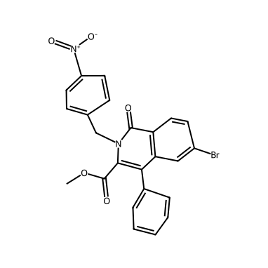 COC(=O)c1c(-c2ccccc2)c2cc(Br)ccc2c(=O)n1Cc1ccc([N+](=O)[O-])cc1